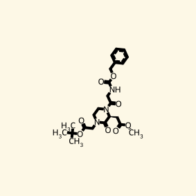 COC(=O)C[C@H]1C(=O)N(CC(=O)OC(C)(C)C)CCN1C(=O)CNC(=O)OCc1ccccc1